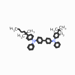 CCCCC(C)(C)c1ccc(N(c2ccccc2)c2ccc(-c3ccc(N(c4ccccc4)c4ccc(C(C)(C)C)cc4)cc3)cc2)cc1